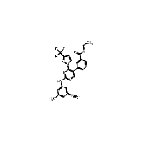 [C-]#[N+]c1cc(C)cc(Nc2ncc(-c3cncc(C(=O)OCC)c3)c(-n3ccc(C(F)(F)F)n3)n2)c1